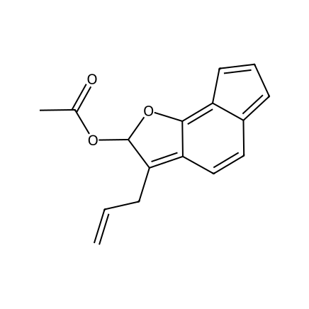 C=CCC1=c2ccc3c(c2OC1OC(C)=O)C=CC=3